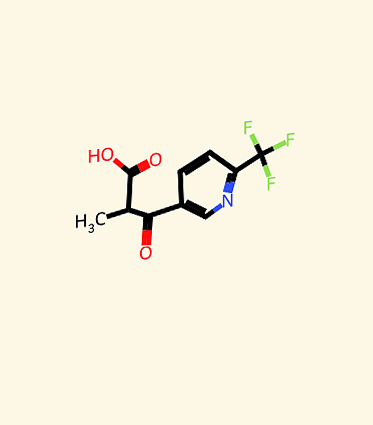 CC(C(=O)O)C(=O)c1ccc(C(F)(F)F)nc1